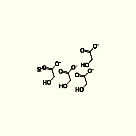 O=C([O-])CO.O=C([O-])CO.O=C([O-])CO.O=C([O-])CO.[Si+4]